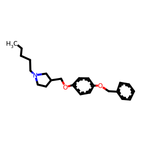 CCCCCN1CCC(COc2ccc(OCc3ccccc3)cc2)C1